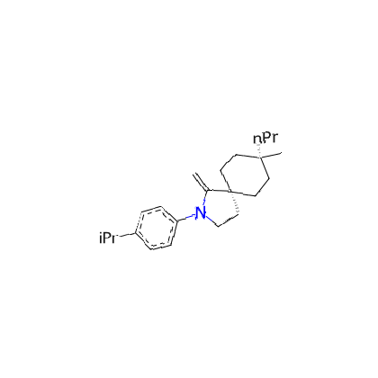 C=C1N(c2ccc(C(C)C)cc2)CC[C@]12CC[C@@](C)(CCC)CC2